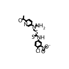 CC(=O)c1ccc(N(N)CSC(=S)Nc2ccc(Cl)c([N+](=O)[O-])c2)cn1